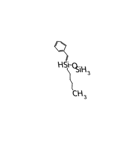 CCCCCC[SiH](C=Cc1ccccc1)O[SiH3]